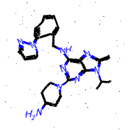 Cc1nc2c(NCc3ccccc3-n3cccn3)nc(N3CCC(N)CC3)nc2n1C(C)C